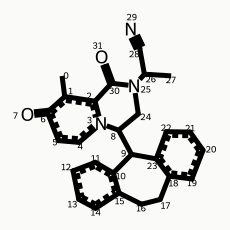 Cc1c2n(ccc1=O)C(C1c3ccccc3CCc3ccccc31)CN(C(C)C#N)C2=O